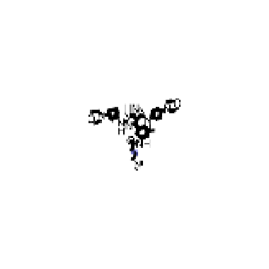 Cc1cc(NC(=O)/C=C/CN(C)C)cc(-c2nc(Nc3cccc(N4CCOCC4)c3)nc3[nH]nc(Nc4ccc(N5CCOCC5)cc4)c23)c1